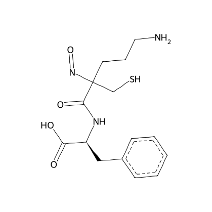 NCCCC(CS)(N=O)C(=O)N[C@@H](Cc1ccccc1)C(=O)O